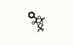 CC(=O)O[C@@H](C(=O)OCC(F)(F)F)c1ccccc1